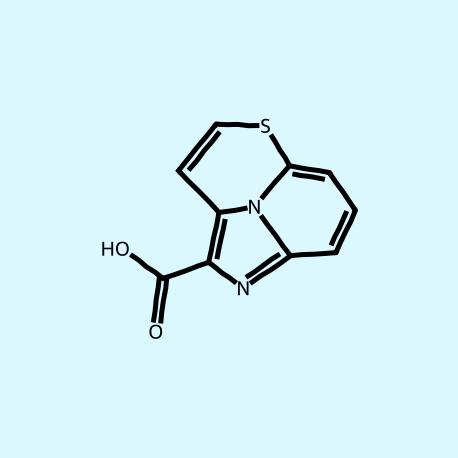 O=C(O)c1nc2cccc3n2c1C=CS3